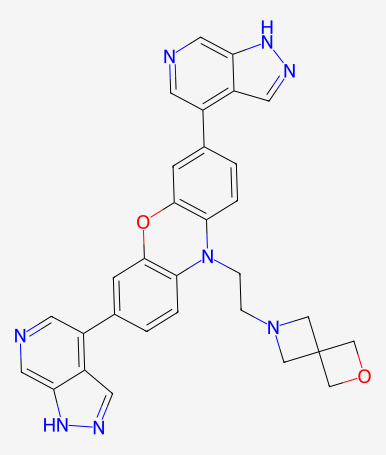 c1cc2c(cc1-c1cncc3[nH]ncc13)Oc1cc(-c3cncc4[nH]ncc34)ccc1N2CCN1CC2(COC2)C1